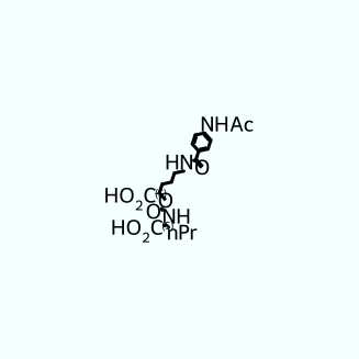 CCC[C@H](NC(=O)O[C@@H](CCCCNC(=O)c1ccc(NC(C)=O)cc1)C(=O)O)C(=O)O